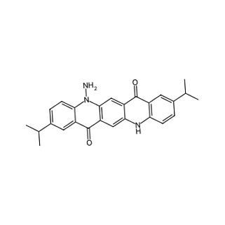 CC(C)c1ccc2[nH]c3cc4c(=O)c5cc(C(C)C)ccc5n(N)c4cc3c(=O)c2c1